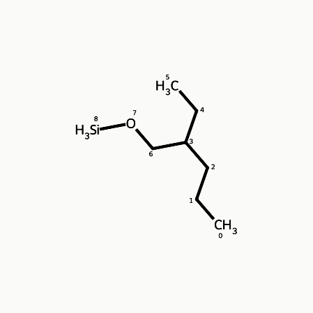 CCCC(CC)CO[SiH3]